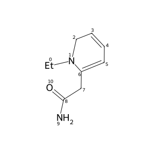 CCN1CC=CC=C1CC(N)=O